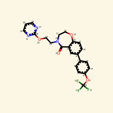 O=C1c2cc(-c3ccc(OC(F)(F)F)cc3)ccc2OCCN1CCOc1ncccn1